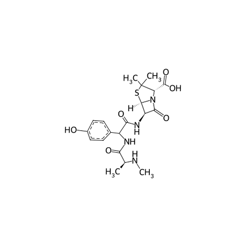 CN[C@@H](C)C(=O)NC(C(=O)N[C@@H]1C(=O)N2[C@@H]1SC(C)(C)[C@@H]2C(=O)O)c1ccc(O)cc1